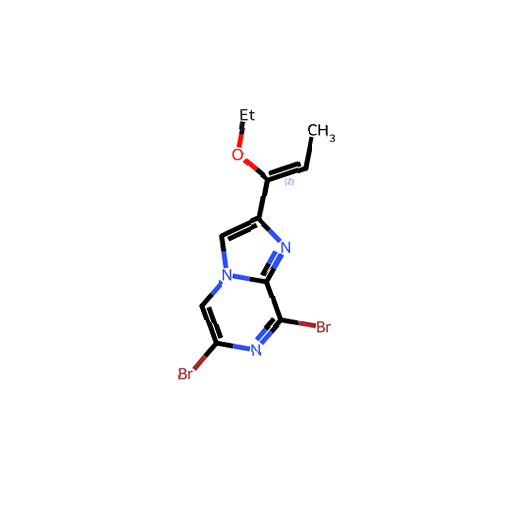 C/C=C(\OCC)c1cn2cc(Br)nc(Br)c2n1